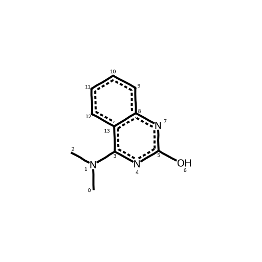 CN(C)c1nc(O)nc2ccccc12